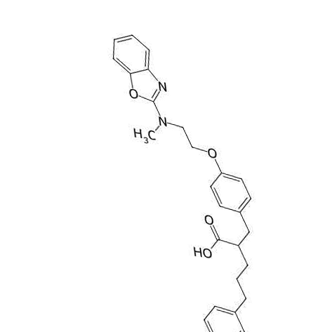 CN(CCOc1ccc(CC(CCCc2ccccc2)C(=O)O)cc1)c1nc2ccccc2o1